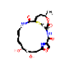 C[C@@H]1C/C=C2\SC[C@@H](NC(=O)c3coc(n3)C[C@H](O)C[C@H](O)/C=C/C=C/CNC2=O)C(=O)O1